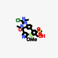 COc1ncc(-c2oc(C)nc2-c2cc(-c3cc(F)c(CO)c(S(C)(=O)=O)c3)ccc2-n2cc(Cl)nc2C)cc1F